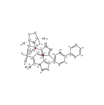 Cc1n[nH]c(C(=O)N2[C@@H]3CC[C@H]2C[C@H](c2nc4c(-c5ccc(-c6ccccc6)nc5)cnn4c(N)c2S(C)(=O)=O)C3)n1